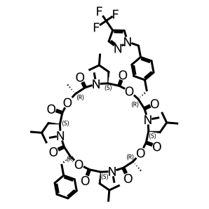 CC(C)C[C@H]1C(=O)O[C@H](Cc2ccc(Cn3cc(C(F)(F)F)cn3)cc2)C(=O)N(C)[C@@H](CC(C)C)C(=O)O[C@H](C)C(=O)N(C)[C@@H](CC(C)C)C(=O)O[C@H](Cc2ccccc2)C(=O)N(C)[C@@H](CC(C)C)C(=O)O[C@H](C)C(=O)N1C